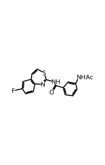 CC(=O)Nc1cccc(C(=O)NC2=Nc3ccc(F)cc3C=CS2)c1